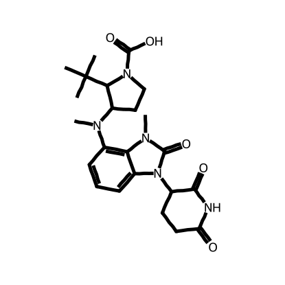 CN(c1cccc2c1n(C)c(=O)n2C1CCC(=O)NC1=O)C1CCN(C(=O)O)C1C(C)(C)C